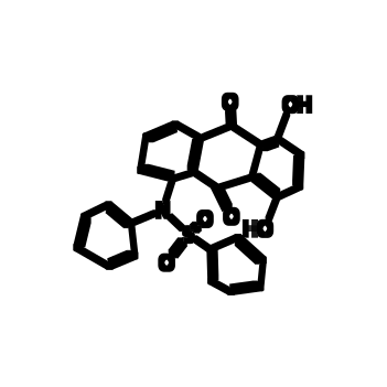 O=C1c2cccc(N(c3ccccc3)S(=O)(=O)c3ccccc3)c2C(=O)c2c(O)ccc(O)c21